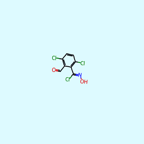 O=Cc1c(Cl)ccc(Cl)c1C(Cl)=NO